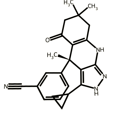 CC1(C)CC(=O)C2=C(C1)Nc1n[nH]c(C3CC3)c1[C@]2(C)c1cccc(C#N)c1